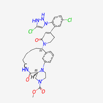 COC(=O)N1CCN2c3cccc(c3)[C@@H](N3CCC(c4cc(Cl)ccc4N4C=C(Cl)NN4)=CC3=O)CCCCCNC(=O)[C@H]2C1